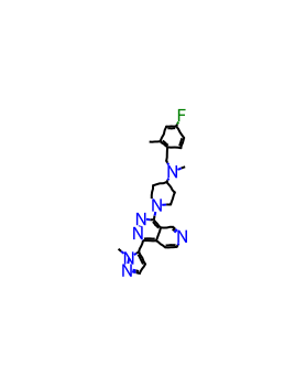 Cc1cc(F)ccc1CN(C)C1CCN(c2nnc(-c3ccnn3C)c3ccncc23)CC1